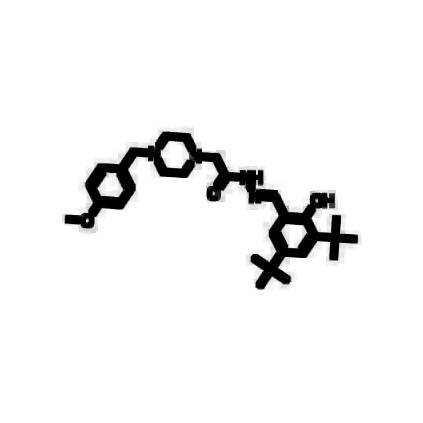 COc1ccc(CN2CCN(CC(=O)NN=Cc3cc(C(C)(C)C)cc(C(C)(C)C)c3O)CC2)cc1